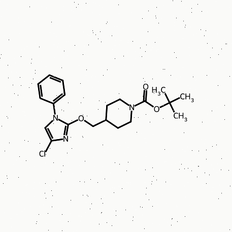 CC(C)(C)OC(=O)N1CCC(COc2nc(Cl)cn2-c2ccccc2)CC1